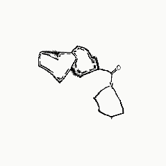 O=C(c1ccc2ccccc2c1)N1CC[CH]CC1